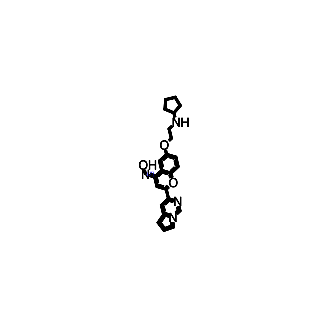 O/N=c1/cc(-c2cc3cccn3cn2)oc2ccc(OCCNC3CCCC3)cc12